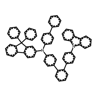 c1ccc(-c2ccc(N(c3ccc(-c4ccccc4-c4ccc(-n5c6ccccc6c6ccccc65)cc4)cc3)c3ccc4c(c3)C(c3ccccc3)(c3ccccc3)c3ccccc3-4)cc2)cc1